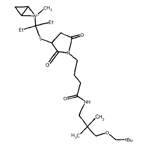 CCC(CC)(SC1CC(=O)N(CCCC(=O)NCC(C)(C)COCC(C)(C)C)C1=O)[N+]1(C)C2CC21